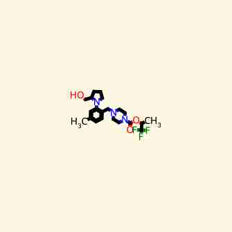 Cc1ccc(CN2CCN(C(=O)OC(C)C(F)(F)F)CC2)c(N2CCCC2CO)c1